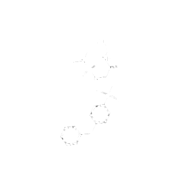 CN(C)S(=O)(=O)N[C@@H](CS(=O)(=O)c1ccc(Oc2ccccc2)cc1)C(=O)NOC(C)(C)C